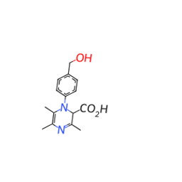 CC1=NC(C)=C(C)N(c2ccc(CO)cc2)C1C(=O)O